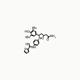 CC(C)(C)c1cc(C2CC(CC(N)=O)ON2c2ccc(NC(=N)c3cccs3)cc2)cc(C(C)(C)C)c1O